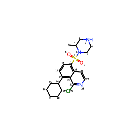 CC1CNCCN1S(=O)(=O)c1ccc(C2CCCCC2)c2c(Cl)nccc12